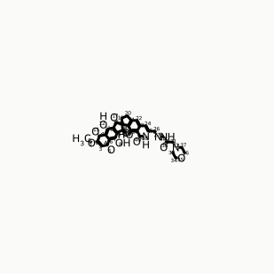 COC1=CC(=O)c2c(O)c3c(c(O)c2C1=O)C(=O)C1(CCc2cc4cc(C=NNC(=O)CN5CCOCC5)[nH]c(=O)c4c(O)c21)C3=O